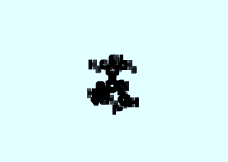 C[C@H]1CN(c2cc(S(=O)(=O)NC3(C)CC3)cc3c2cnn3[C@H]2CN[C@H](CF)C2)C[C@H](C)N1C